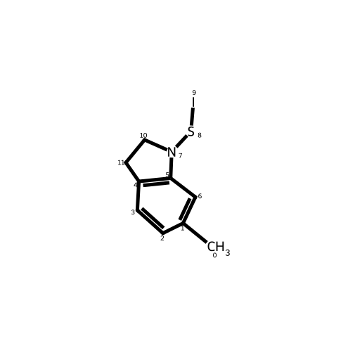 Cc1ccc2c(c1)N(SI)CC2